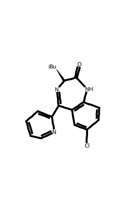 CC[C@H](C)C1N=C(c2ccccn2)c2cc(Cl)ccc2NC1=O